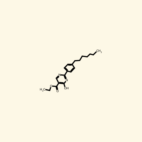 CCCCCCCc1ccc(-c2ncc(C(=O)OCC)c(O)n2)cc1